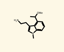 COC(C)c1cccc2c1c(CCN)cn2C